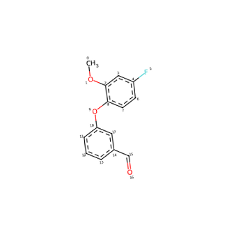 COc1cc(F)ccc1Oc1cccc(C=O)c1